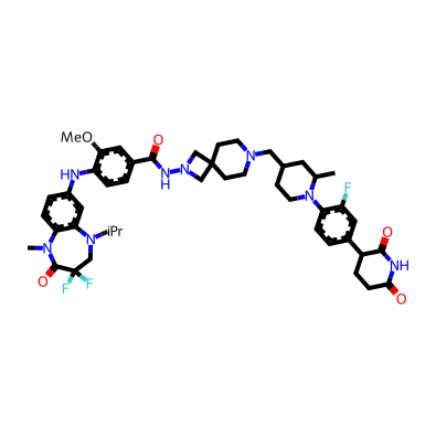 COc1cc(C(=O)NN2CC3(CCN(CC4CCN(c5ccc(C6CCC(=O)NC6=O)cc5F)C(C)C4)CC3)C2)ccc1Nc1ccc2c(c1)N(C(C)C)CC(F)(F)C(=O)N2C